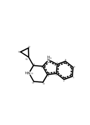 c1ccc2c3c([nH]c2c1)C(C1CC1)NCC3